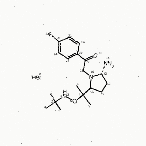 Br.CC(C)(C)[SiH2]OC(C)(C)C1CC[C@@H](N)N1CC(=O)c1ccc(F)cc1